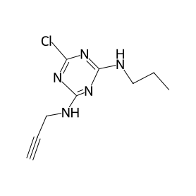 C#CCNc1nc(Cl)nc(NCCC)n1